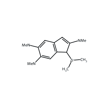 CNC1=Cc2cc(NC)c(NC)cc2[CH]1[Zr]([CH3])[CH3]